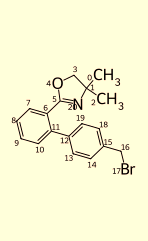 CC1(C)COC(c2ccccc2-c2ccc(CBr)cc2)=N1